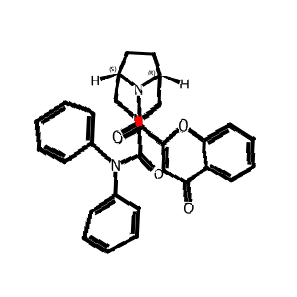 O=C(N1C[C@H]2CC[C@@H](C1)N2C(=O)c1cc(=O)c2ccccc2o1)N(c1ccccc1)c1ccccc1